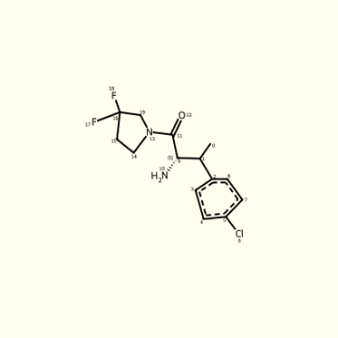 CC(c1ccc(Cl)cc1)[C@H](N)C(=O)N1CCC(F)(F)C1